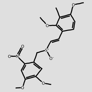 COc1cc(C[S+]([O-])/C=C/c2ccc(OC)c(C)c2OC)c([N+](=O)[O-])cc1OC